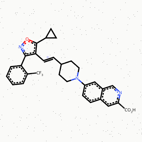 O=C(O)c1cc2ccc(N3CCC(/C=C/c4c(-c5ccccc5C(F)(F)F)noc4C4CC4)CC3)cc2cn1